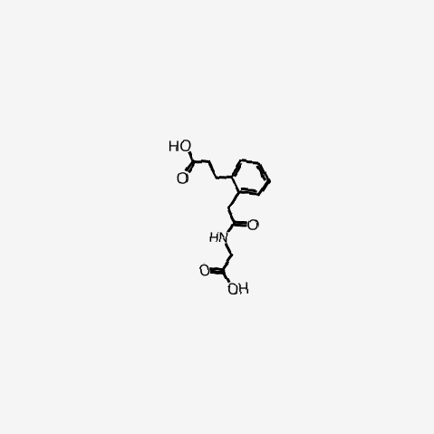 O=C(O)CCc1ccccc1CC(=O)NCC(=O)O